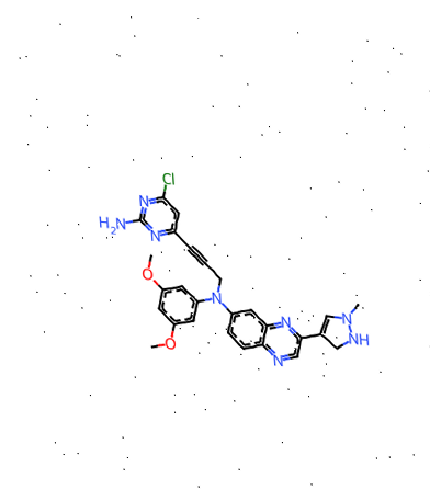 COc1cc(OC)cc(N(CC#Cc2cc(Cl)nc(N)n2)c2ccc3ncc(C4=CN(C)NC4)nc3c2)c1